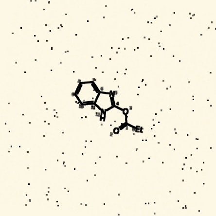 CCC(=O)Oc1nc2ccccc2[nH]1